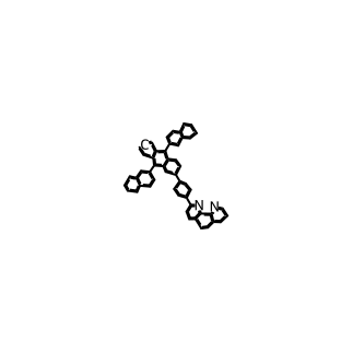 c1ccc2cc(-c3c4ccccc4c(-c4ccc5ccccc5c4)c4cc(-c5ccc(-c6ccc7ccc8cccnc8c7n6)cc5)ccc34)ccc2c1